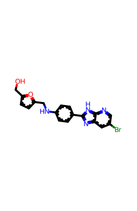 OCc1ccc(CNc2ccc(-c3nc4cc(Br)cnc4[nH]3)cc2)o1